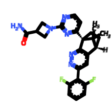 CC1(C)[C@H]2CC[C@]1(c1ccnc(N3CC(C(N)=O)C3)n1)c1nnc(-c3c(F)cccc3F)cc12